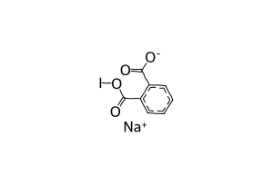 O=C([O-])c1ccccc1C(=O)OI.[Na+]